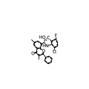 Cc1cc([C@@H](C)Nc2c(Cl)ccc(F)c2C(=O)O)c2oc(-c3ccccc3)c(C)c(=O)c2c1